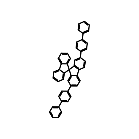 c1ccc(-c2ccc(-c3ccc4c(c3)C3(c5ccccc5-c5ccccc53)c3cc(-c5ccc(-c6ccccc6)cc5)ccc3-4)cc2)cc1